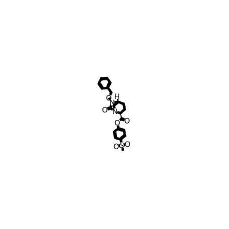 CS(=O)(=O)c1ccc(OC(=O)[C@@H]2CC[C@@H]3CN2C(=O)N3OCc2ccccc2)cc1